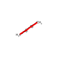 CCCCCCCCCCCCC(=O)OCCCCCCCCCOC(=O)CCCCCCCCCCCC